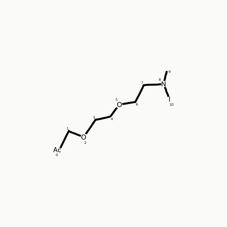 CC(=O)COCCOCCN(C)I